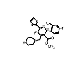 COC(=O)C1=C(CN2CCNCC2)NC(c2nccs2)=N[C@H]1c1ccc(F)cc1Cl